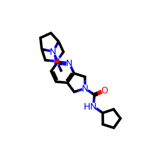 CN1CC2CCC(C1)N2c1ccc2c(n1)CN(C(=O)NC1CCCC1)C2